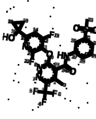 Cc1c(C(F)(F)F)nnc(Oc2c(F)cc(C3(O)CC3)nc2F)c1C(=O)Nc1cccc(S(C)(=O)=O)c1